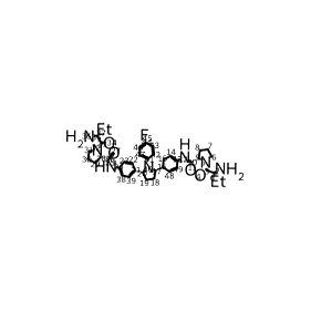 CC[C@H](N)C(=O)N1CCC[C@H]1C(=O)NC1=CCC([C@H]2CC[C@H](c3ccc(NC(=O)[C@@H]4CCCN4C(=O)[C@@H](N)CC)cc3)N2c2ccc(F)cc2)C=C1